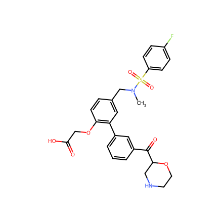 CN(Cc1ccc(OCC(=O)O)c(-c2cccc(C(=O)C3CNCCO3)c2)c1)S(=O)(=O)c1ccc(F)cc1